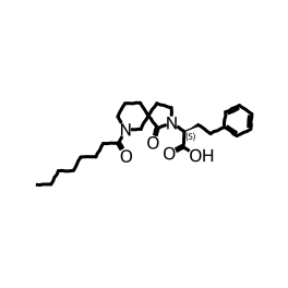 CCCCCCCC(=O)N1CCCC2(CCN([C@@H](CCc3ccccc3)C(=O)O)C2=O)C1